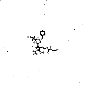 CC(C)CNC(=O)OCCc1c([C@H](COCc2ccccc2)NC(=O)C(C)(C)N)nn(S(C)(=O)=O)c1O